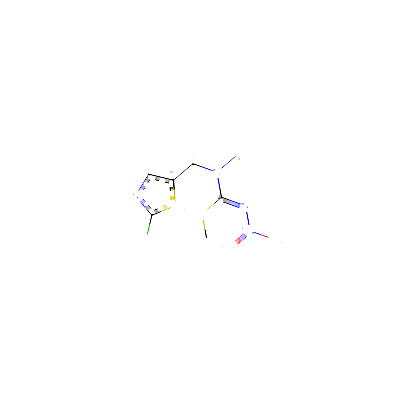 CS/C(=N\[N+](=O)[O-])N(C)Cc1cnc(Cl)s1